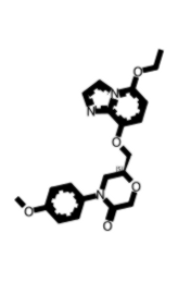 CCOc1ccc(OC[C@@H]2CN(c3ccc(OC)cc3)C(=O)CO2)c2nccn12